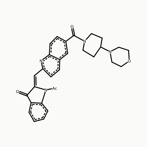 CC(=O)N1/C(=C\c2ccc3cc(C(=O)N4CCC(N5CCOCC5)CC4)ccc3n2)C(=O)c2ccccc21